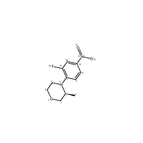 C[C@H]1COCCN1c1ccc([N+](=O)[O-])cc1F